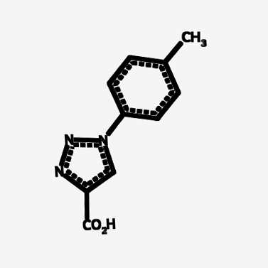 Cc1ccc(-n2cc(C(=O)O)nn2)cc1